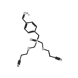 C=Cc1ccc(CP(=O)(COCCC#N)COCCC#N)cc1